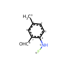 Cc1ccc(NF)c(C=O)c1